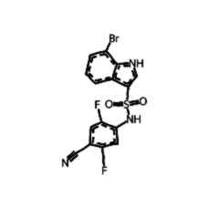 N#Cc1cc(F)c(NS(=O)(=O)c2c[nH]c3c(Br)cccc23)cc1F